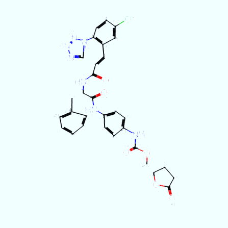 O=C(C=Cc1cc(Cl)ccc1-n1cnnn1)N[C@@H](Cc1ccccc1)C(=O)Nc1ccc(NC(=O)OC[C@@H]2CCC(=O)O2)cc1